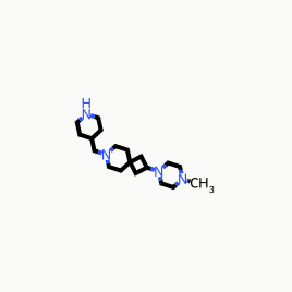 CN1CCN(C2CC3(CCN(CC4CCNCC4)CC3)C2)CC1